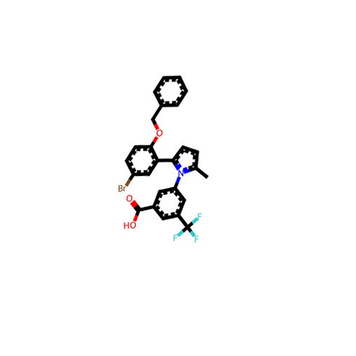 Cc1ccc(-c2cc(Br)ccc2OCc2ccccc2)n1-c1cc(C(=O)O)cc(C(F)(F)F)c1